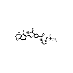 C[C@H](CC(C)(F)F)NC(=O)c1cc2c(=O)[nH]c(-c3ccc4c(c3F)OCCO4)cn2c1